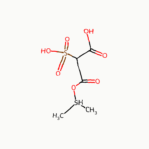 C[SiH](C)OC(=O)C(C(=O)O)S(=O)(=O)O